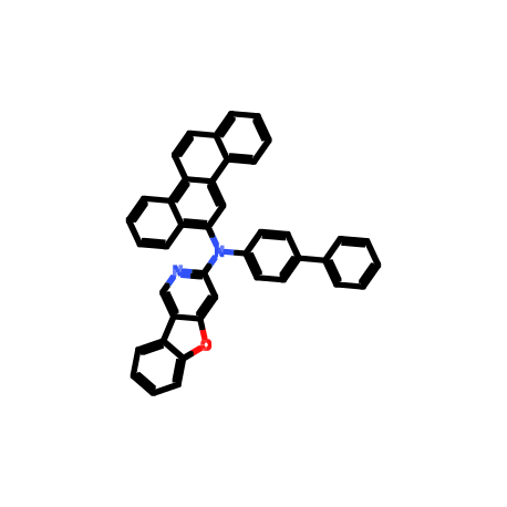 c1ccc(-c2ccc(N(c3cc4oc5ccccc5c4cn3)c3cc4c5ccccc5ccc4c4ccccc34)cc2)cc1